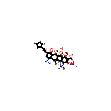 CN(C)c1cc(C#CC2=CCCC2)c(O)c2c1C[C@@]1(C)C[C@@]3(C)[C@H](N(C)C)C(O)=C(C(N)=O)C(=O)[C@@]3(C)C(O)=C1C2=O